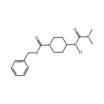 CCN(C(=O)N(C)C)C1CCN(C(=O)OCc2ccccc2)CC1